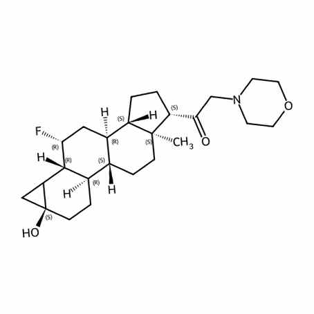 C[C@]12CC[C@@H]3[C@H]4CC[C@]5(O)CC5[C@@H]4[C@H](F)C[C@H]3[C@@H]1CC[C@@H]2C(=O)CN1CCOCC1